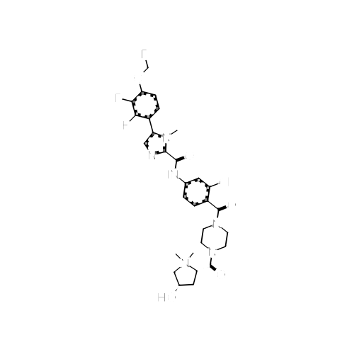 Cn1c(-c2ccc(OCF)c(F)c2F)cnc1C(=O)Nc1ccc(C(=O)N2CCN(C(=O)[C@@H]3C[C@@H](O)C[N+]3(C)C)CC2)c(Cl)c1